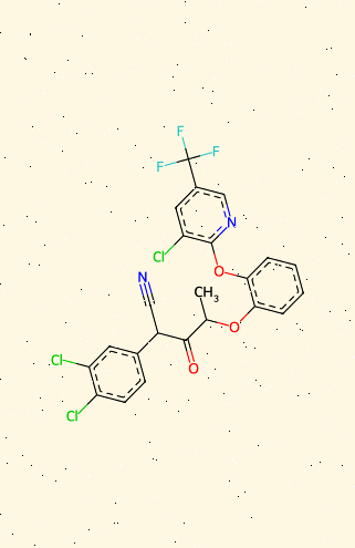 CC(Oc1ccccc1Oc1ncc(C(F)(F)F)cc1Cl)C(=O)C(C#N)c1ccc(Cl)c(Cl)c1